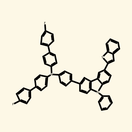 Fc1ccc(-c2ccc(N(c3ccc(-c4ccc(F)cc4)cc3)c3ccc(-c4ccc5c(c4)c4cc(-c6cc7ccccc7s6)ccc4n5-c4ccccc4)cc3)cc2)cc1